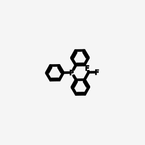 FC(F)c1ccccc1P(c1ccccc1)c1ccccc1